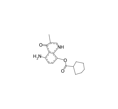 Cc1c[nH]c2c(OC(=O)C3CCCCC3)ccc(N)c2c1=O